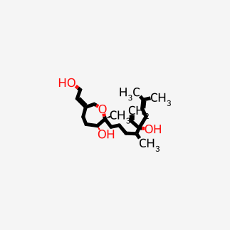 C=CC(O)(CC=C(C)C)C(C)CCC[C@]1(C)OCC(=CCO)CC[C@H]1O